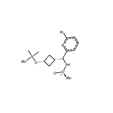 CC(C)(C)[S@@+]([O-])NC(c1cccc(Br)n1)[C@H]1C[C@@H](O[Si](C)(C)C(C)(C)C)C1